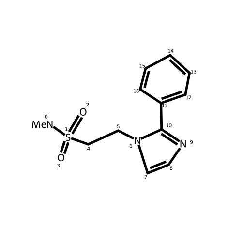 CNS(=O)(=O)CCn1ccnc1-c1ccccc1